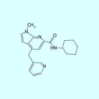 Cn1ccc2c(Cc3cccnc3)cc(C(=O)NC3CCCCC3)nc21